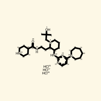 CC(C)(O)CN1CCCC(Nc2nccc(N3CCCCCC3)n2)C1CCNC(=O)C1CCNCC1.Cl.Cl.Cl